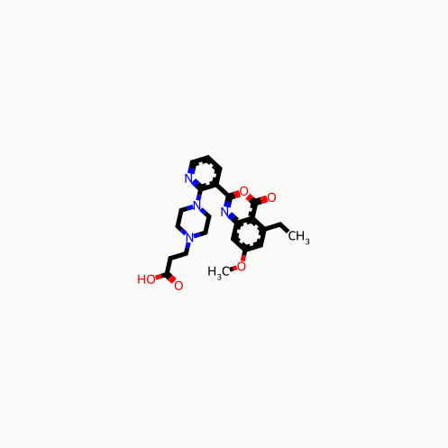 CCc1cc(OC)cc2nc(-c3cccnc3N3CCN(CCC(=O)O)CC3)oc(=O)c12